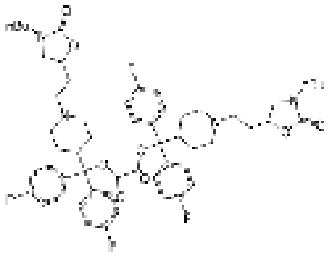 CCCCN1CC(CCN2CCC(C(OC(=O)C(=O)OC(c3ccc(F)cc3)(c3ccc(F)cc3)C3CCN(CCC4CN(CCCC)C(=O)O4)CC3)(c3ccc(F)cc3)c3ccc(F)cc3)CC2)OC1=O